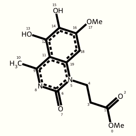 COC(=O)CCn1c(=O)nc(C)c2c(O)c(O)c(OC)cc21